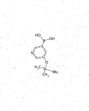 CC(C)(C)[Si](C)(C)Oc1cncc(B(O)O)c1